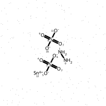 NN.O=S(=O)([O-])[O-].O=S(=O)([O-])[O-].[Sn+4]